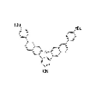 CC(C)(C)c1ccc(-c2ccc3cc4c5cc(C#N)cc6c7cc8ccc(-c9ccc(C(C)(C)C)cc9)cc8cc7n(c4cc3c2)c56)cc1